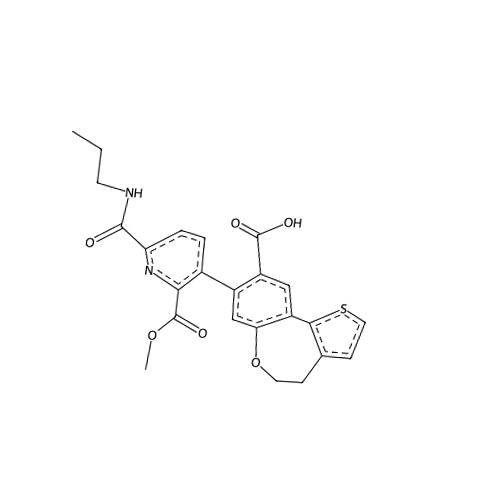 CCCNC(=O)c1ccc(-c2cc3c(cc2C(=O)O)-c2sccc2CCO3)c(C(=O)OC)n1